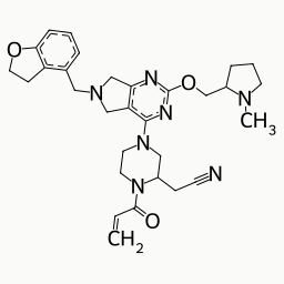 C=CC(=O)N1CCN(c2nc(OCC3CCCN3C)nc3c2CN(Cc2cccc4c2CCO4)C3)CC1CC#N